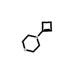 C1=C(N2CCOCC2)CC1